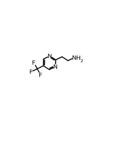 NCCc1ncc(C(F)(F)F)cn1